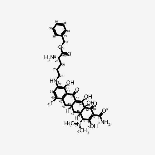 CN(C)[C@@H]1C(O)=C(C(N)=O)C(=O)[C@@]2(O)C(O)=C3C(=O)c4c(O)c(NCCC[C@H](N)C(=O)OCc5ccccc5)cc(F)c4C[C@H]3C[C@@H]12